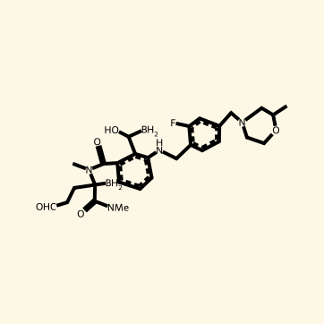 BC(O)c1c(NCc2ccc(CN3CCOC(C)C3)cc2F)cccc1C(=O)N(C)C(B)(CCC=O)C(=O)NC